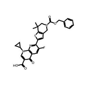 CC1(C)CN(C(=O)OCc2ccccc2)Cc2cc(-c3nc4c(cc3F)c(=O)c(C(=O)O)cn4C3CC3)sc21